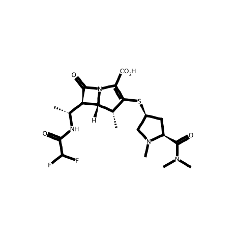 C[C@@H](NC(=O)C(F)F)[C@H]1C(=O)N2C(C(=O)O)=C(S[C@H]3C[C@@H](C(=O)N(C)C)N(C)C3)[C@H](C)[C@H]12